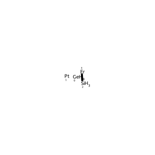 [GeH4].[Pt].[SiH3][Er]